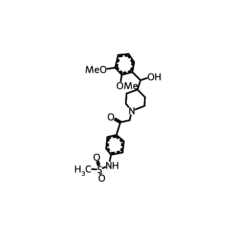 COc1cccc(C(O)C2CCN(CC(=O)c3ccc(NS(C)(=O)=O)cc3)CC2)c1OC